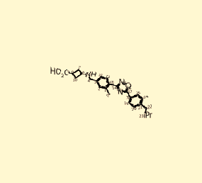 Cc1cc(CN[C@H]2C[C@H](C(=O)O)C2)ccc1-c1noc(-c2ccc(CC(C)C)cc2)n1